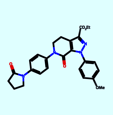 CCOC(=O)c1nn(-c2ccc(OC)cc2)c2c1CCN(c1ccc(N3CCCC3=O)cc1)C2=O